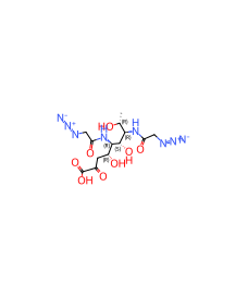 C[C@@H](O)[C@@H](NC(=O)CN=[N+]=[N-])[C@H](O)[C@H](NC(=O)CN=[N+]=[N-])[C@H](O)CC(=O)C(=O)O